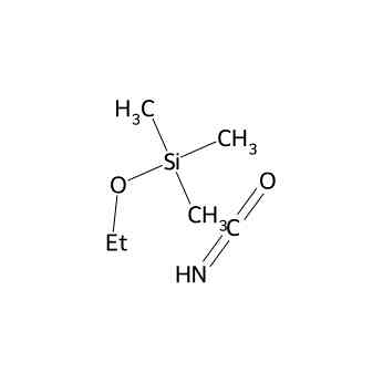 CCO[Si](C)(C)C.N=C=O